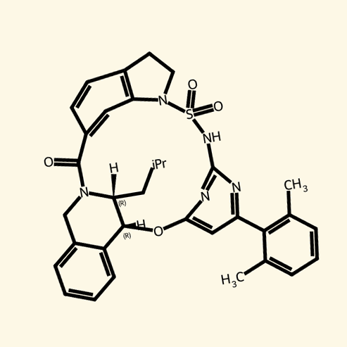 Cc1cccc(C)c1-c1cc2nc(n1)NS(=O)(=O)N1CCc3ccc(cc31)C(=O)N1Cc3ccccc3[C@@H](O2)[C@H]1CC(C)C